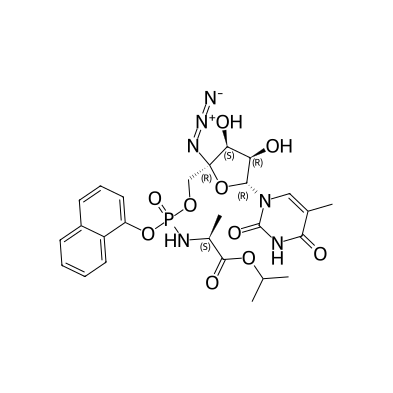 Cc1cn([C@@H]2O[C@@](COP(=O)(N[C@@H](C)C(=O)OC(C)C)Oc3cccc4ccccc34)(N=[N+]=[N-])[C@@H](O)[C@H]2O)c(=O)[nH]c1=O